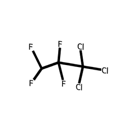 FC(F)C(F)(F)C(Cl)(Cl)Cl